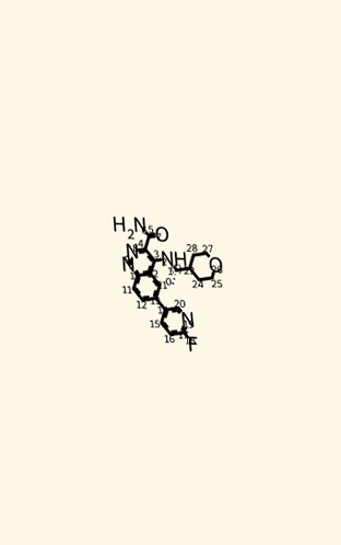 C[C@H](Nc1c(C(N)=O)nnc2ccc(-c3ccc(F)nc3)cc12)C1CCOCC1